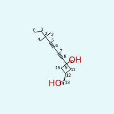 CCC(C)(C)C#CC#C[C@]1(O)C[C@@H](CO)C1